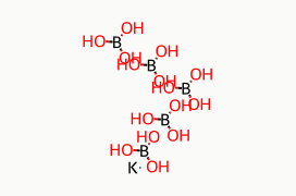 OB(O)O.OB(O)O.OB(O)O.OB(O)O.OB(O)O.[K]